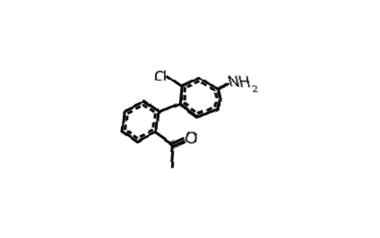 CC(=O)c1ccccc1-c1ccc(N)cc1Cl